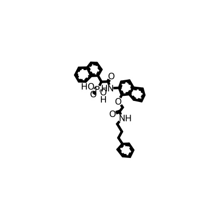 O=C(COc1c(NC(=O)C(c2cccc3ccccc23)P(=O)(O)O)ccc2ccccc12)NCCCc1ccccc1